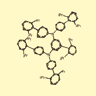 CC(C)c1cccc(C(C)C)c1-c1ccc(N(c2ccc(-c3c(C(C)C)cccc3C(C)C)cc2)c2cc(-c3c(C(C)C)cccc3C(C)C)cc(N(c3ccc(-c4c(C(C)C)cccc4C(C)C)cc3)c3ccc(-c4c(C(C)C)cccc4C(C)C)cc3)c2)cc1